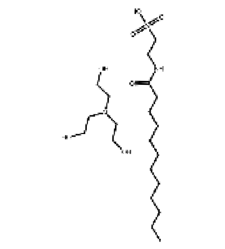 CCCCCCCCCCCC(=O)NCCS(=O)(=O)O.OCCN(CCO)CCO